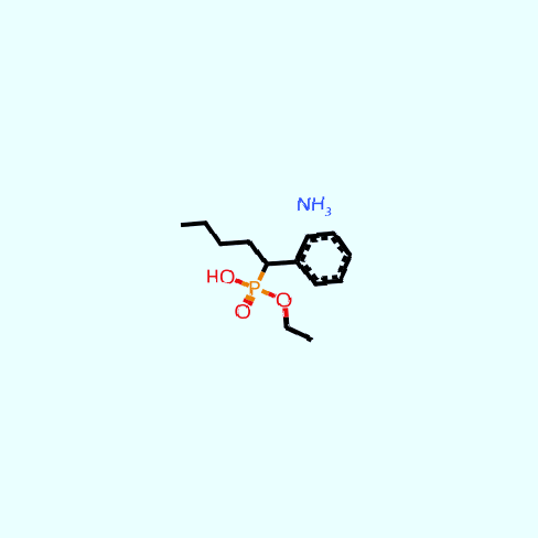 CCCCC(c1ccccc1)P(=O)(O)OCC.N